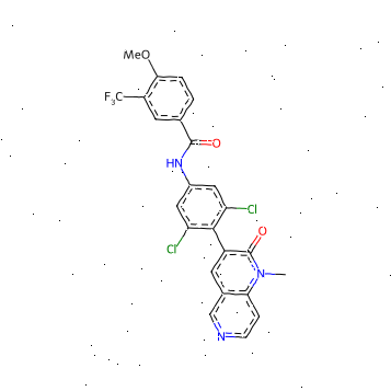 COc1ccc(C(=O)Nc2cc(Cl)c(-c3cc4cnccc4n(C)c3=O)c(Cl)c2)cc1C(F)(F)F